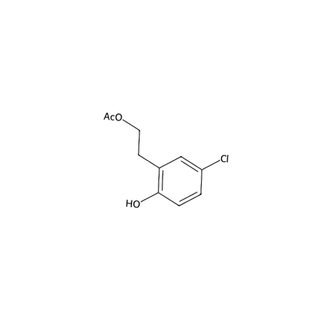 CC(=O)OCCc1cc(Cl)ccc1O